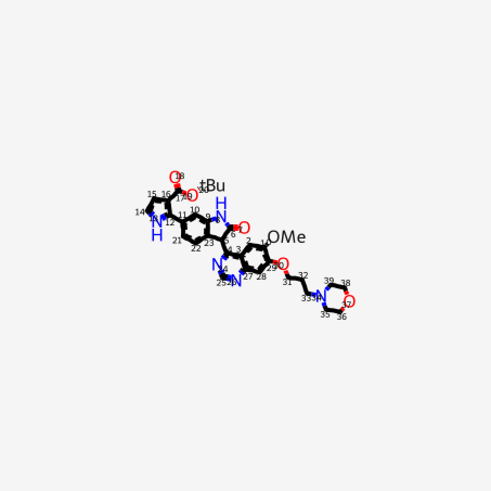 COc1cc2c(C3C(=O)Nc4cc(-c5[nH]ccc5C(=O)OC(C)(C)C)ccc43)ncnc2cc1OCCCN1CCOCC1